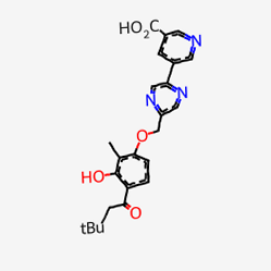 Cc1c(OCc2cnc(-c3cncc(C(=O)O)c3)cn2)ccc(C(=O)CC(C)(C)C)c1O